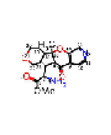 COC(=O)C(N)CC1C(=O)c2ccncc2OC1(C)C1CCOCC1